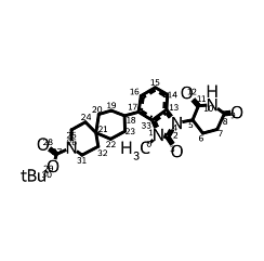 Cn1c(=O)n(C2CCC(=O)NC2=O)c2cccc(C3CCC4(CC3)CCN(C(=O)OC(C)(C)C)CC4)c21